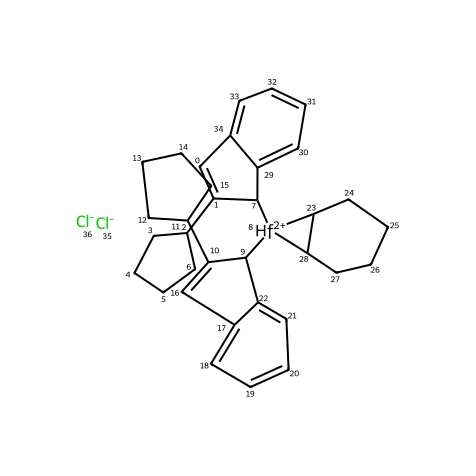 C1=C(C2CCCC2)[CH]([Hf+2]2([CH]3C(C4CCCC4)=Cc4ccccc43)[CH]3CCCC[CH]32)c2ccccc21.[Cl-].[Cl-]